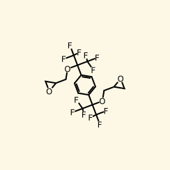 FC(F)(F)C(OCC1CO1)(c1ccc(C(OCC2CO2)(C(F)(F)F)C(F)(F)F)cc1)C(F)(F)F